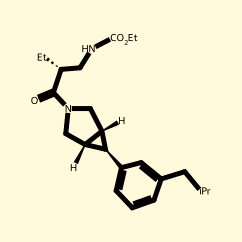 CCOC(=O)NC[C@@H](CC)C(=O)N1C[C@@H]2[C@H](C1)[C@H]2c1cccc(CC(C)C)c1